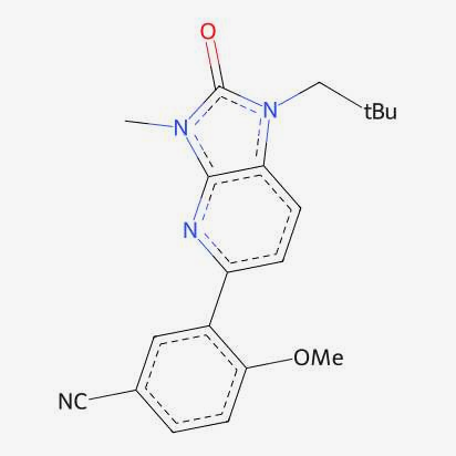 COc1ccc(C#N)cc1-c1ccc2c(n1)n(C)c(=O)n2CC(C)(C)C